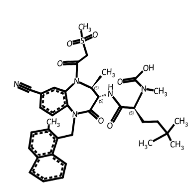 Cc1ccc2ccccc2c1CN1C(=O)[C@@H](NC(=O)[C@H](CCC(C)(C)C)N(C)C(=O)O)[C@H](C)N(C(=O)CS(C)(=O)=O)c2cc(C#N)ccc21